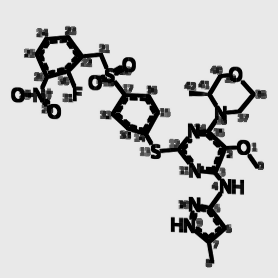 COc1c(Nc2cc(C)[nH]n2)nc(Sc2ccc(S(=O)(=O)Cc3cccc([N+](=O)[O-])c3F)cc2)nc1N1CCOC[C@@H]1C